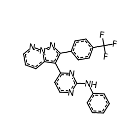 FC(F)(F)c1ccc(-c2nn3ncccc3c2-c2ccnc(Nc3ccccc3)n2)cc1